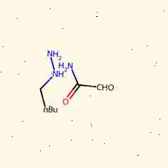 CCCCCNN.NC(=O)C=O